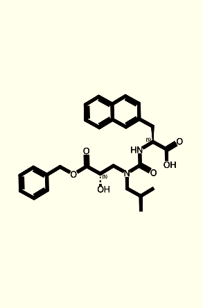 CC(C)CN(C[C@H](O)C(=O)OCc1ccccc1)C(=O)N[C@@H](Cc1ccc2ccccc2c1)C(=O)O